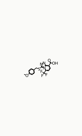 COc1ccc(CSc2nnc3c(C(=O)O)ccc(C(F)(F)F)n23)cc1